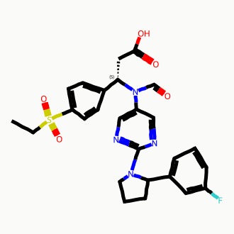 CCS(=O)(=O)c1ccc([C@H](CC(=O)O)N(C=O)c2cnc(N3CCCC3c3cccc(F)c3)nc2)cc1